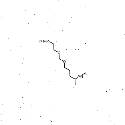 CCCCCCCCCOCOCCC[CH](C)[Mg][I]